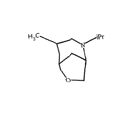 CC1CN(C(C)C)C2COC1C2